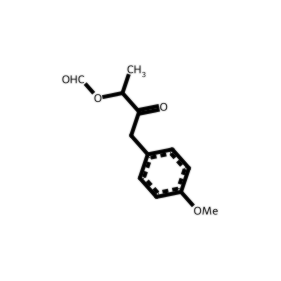 COc1ccc(CC(=O)C(C)OC=O)cc1